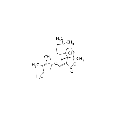 C=C1CC(O/C=C2/C(=O)O[C@]3(C)CCC4C(C)(C)CCC[C@]4(C)[C@@H]23)C(C)=C1C